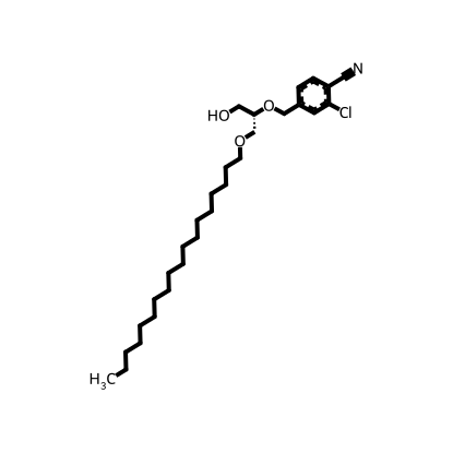 CCCCCCCCCCCCCCCCCCOC[C@H](CO)OCc1ccc(C#N)c(Cl)c1